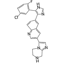 Fc1ccc(Cl)cc1-c1[nH]cnc1-c1ccc2ncc(-c3cnc4n3CCNC4)cc2c1